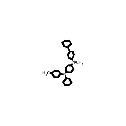 Cc1ccc(N(c2ccccc2)c2ccc(N(C)c3ccc(-c4ccccc4)cc3)cc2)cc1